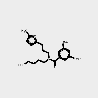 COc1cc(OC)cc(C(=O)N(CCCCC(=O)O)CCCc2ccc(C)o2)c1